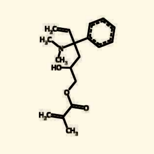 C=CC(CC(O)COC(=O)C(=C)C)(c1ccccc1)N(C)C